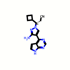 N#CC[C@@H](C1CCC1)n1cc(-c2ncnc3[nH]ccc23)c(N)n1